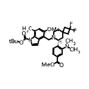 COC(=O)c1ccc([C@H]2CC3(CCN2Cc2c(OC)cc(C)c4c2ccn4C(=O)OC(C)(C)C)CC(F)(F)C3)c(N(C)C)c1